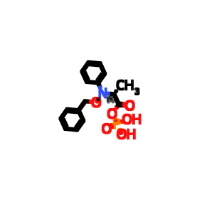 C[C@@H](C(=O)OP(=O)(O)O)N(OCc1ccccc1)c1ccccc1